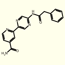 NC(=O)c1ccnc(-c2cnc(NC(=O)Cc3ccccc3)cn2)c1